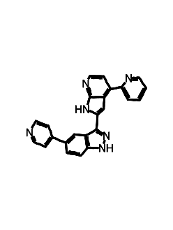 c1ccc(-c2ccnc3[nH]c(-c4n[nH]c5ccc(-c6ccncc6)cc45)cc23)nc1